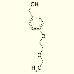 CCOCCOc1ccc(CO)cc1